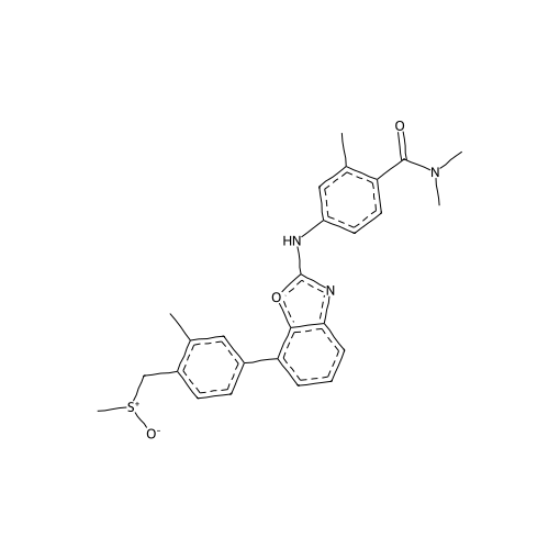 Cc1cc(-c2cccc3nc(Nc4ccc(C(=O)N(C)C)c(C)c4)oc23)ccc1C[S+](C)[O-]